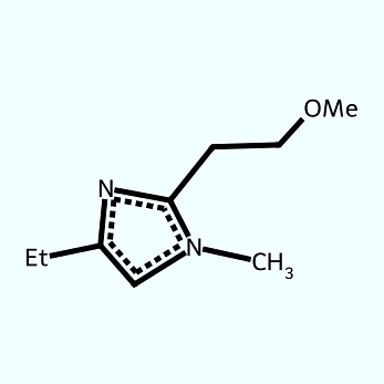 CCc1cn(C)c(CCOC)n1